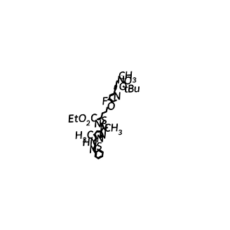 CCOC(=O)c1nc(N(C)c2cc(C)c(Nc3nc4ccccc4s3)nn2)sc1CCCOc1cnc(C#CCN(C)C(=O)OC(C)(C)C)cc1F